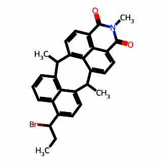 CCC(Br)c1ccc2c3c(cccc13)C(C)c1ccc3c4c(ccc(c14)C2C)C(=O)N(C)C3=O